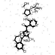 Cc1sc(C(=O)c2cncnc2N[C@@H]2C[C@H](CO)[C@@H](O[Si](C(C)C)(C(C)C)C(C)C)C2)cc1[C@@]1(C(C)(C)C)c2cc(Cl)ccc2CCN1C(=O)O